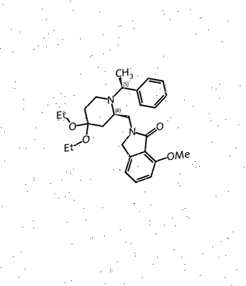 CCOC1(OCC)CCN([C@@H](C)c2ccccc2)[C@@H](CN2Cc3cccc(OC)c3C2=O)C1